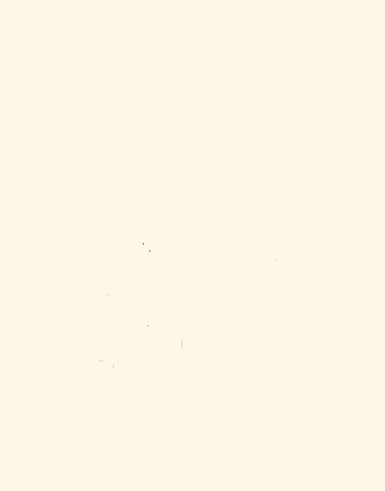 FC(F)(F)C(F)(F)c1cc(Cl)c2cc(Cl)ccc2n1